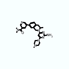 CC1Cc2ccc(-c3cncc(C(=O)N(C)C)c3)cc2CN1c1cc(N2CCN(C)CC2)nc(N)n1